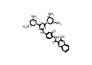 N[C@@H]1C[C@H](N)CN(c2nc(Nc3ccc(NC(=O)c4nc5ccccc5nc4O)c(Cl)c3)nc(N3C[C@H](N)C[C@H](N)C3)n2)C1